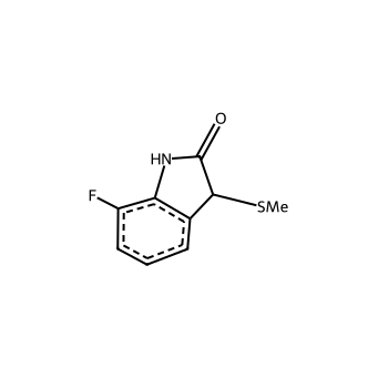 CSC1C(=O)Nc2c(F)cccc21